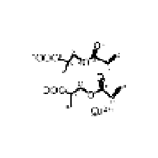 C=CC(=O)OCC(C)C(=O)[O-].C=CC(=O)OCC(C)C(=O)[O-].[Cu+2]